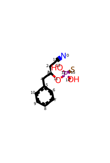 N#CC[C@H](Cc1ccccc1)OP(O)(O)=S